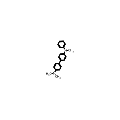 CN(C)c1ccc(-c2ccc(N(C)c3ccccc3)cc2)cc1